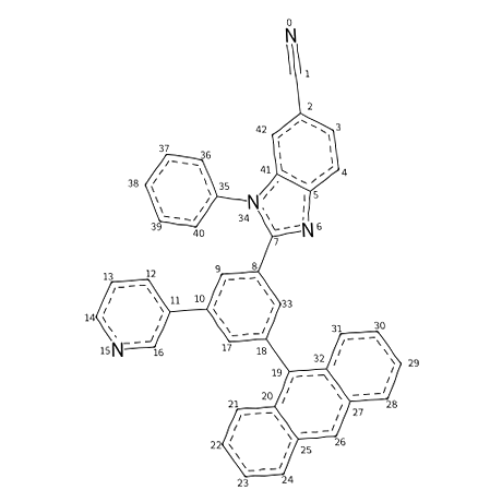 N#Cc1ccc2nc(-c3cc(-c4cccnc4)cc(-c4c5ccccc5cc5ccccc45)c3)n(-c3ccccc3)c2c1